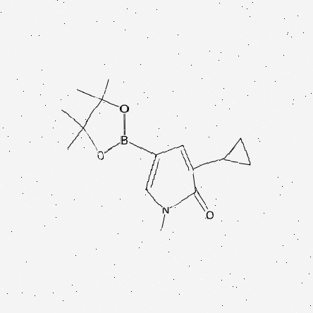 Cn1cc(B2OC(C)(C)C(C)(C)O2)cc(C2CC2)c1=O